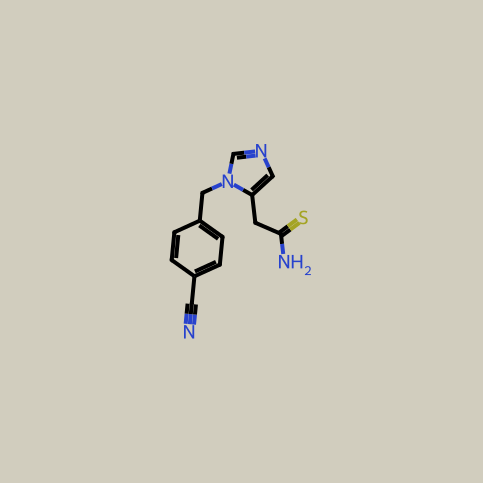 N#Cc1ccc(Cn2cncc2CC(N)=S)cc1